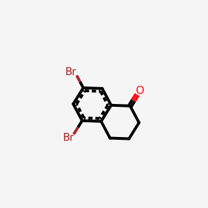 O=C1CCCc2c(Br)cc(Br)cc21